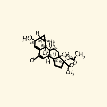 CC(=O)O[C@]1(C(C)=O)CC[C@H]2[C@@H]3C=C(Cl)C4=C[C@@H](O)[C@@H]5C[C@@H]5[C@]4(C)[C@H]3[C@@H](F)C[C@@]21C